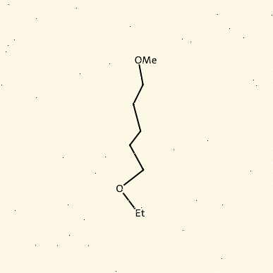 CCOCCCCCOC